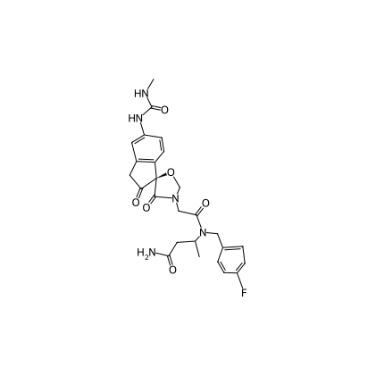 CNC(=O)Nc1ccc2c(c1)CC(=O)[C@]21OCN(CC(=O)N(Cc2ccc(F)cc2)C(C)CC(N)=O)C1=O